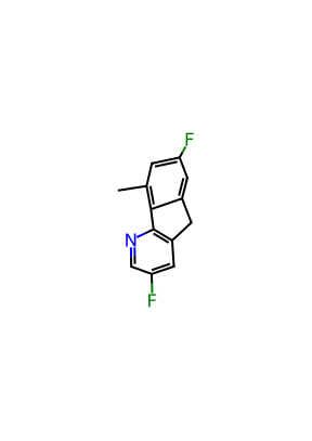 Cc1cc(F)cc2c1-c1ncc(F)cc1C2